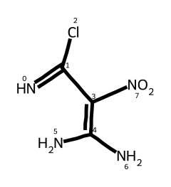 N=C(Cl)C(=C(N)N)[N+](=O)[O-]